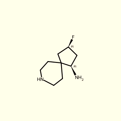 N[C@@H]1C[C@H](F)CC12CCNCC2